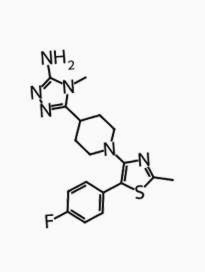 Cc1nc(N2CCC(c3nnc(N)n3C)CC2)c(-c2ccc(F)cc2)s1